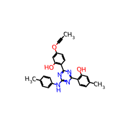 CC#COc1ccc(-c2nc(Nc3ccc(C)cc3)nc(-c3ccc(C)cc3O)n2)c(O)c1